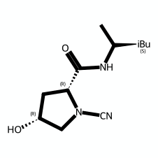 CC[C@H](C)C(C)NC(=O)[C@H]1C[C@@H](O)CN1C#N